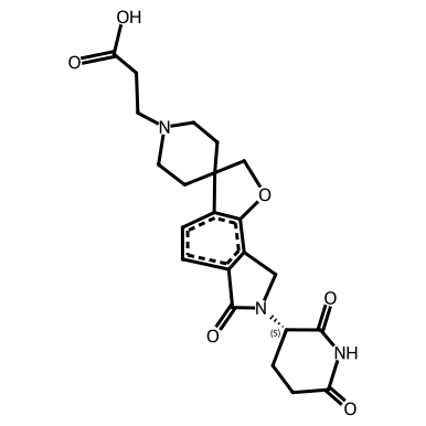 O=C(O)CCN1CCC2(CC1)COc1c2ccc2c1CN([C@H]1CCC(=O)NC1=O)C2=O